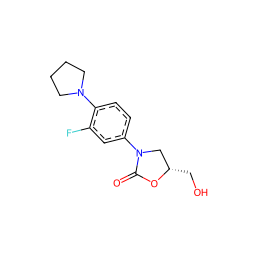 O=C1O[C@@H](CO)CN1c1ccc(N2CCCC2)c(F)c1